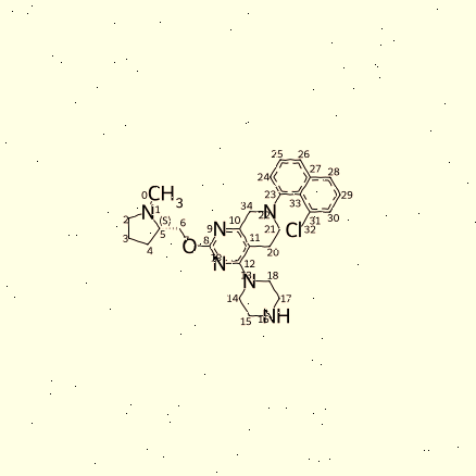 CN1CCC[C@H]1COc1nc2c(c(N3CCNCC3)n1)CCN(c1cccc3cccc(Cl)c13)C2